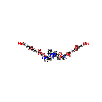 COc1cc(S(=O)(=O)CCN(C)CCOC(=O)CCCCCOC(=O)CCCCCO)c(OC)cc1/N=N/c1c(Nc2ccccc2)nc(NCCOCCOC(=O)CCCCCOC(=O)CCCCCO)c(C#N)c1C